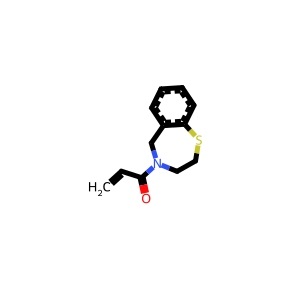 C=CC(=O)N1CCSc2ccccc2C1